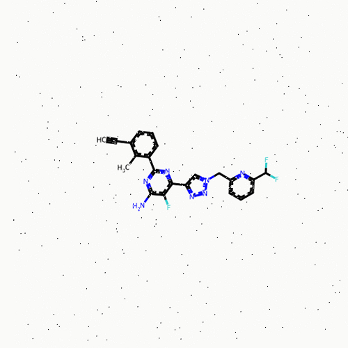 C#Cc1cccc(-c2nc(N)c(F)c(-c3cn(Cc4cccc(C(F)F)n4)nn3)n2)c1C